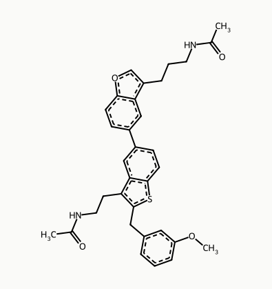 COc1cccc(Cc2sc3ccc(-c4ccc5occ(CCCNC(C)=O)c5c4)cc3c2CCNC(C)=O)c1